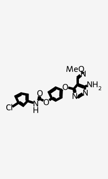 CON=Cc1c(N)ncnc1Oc1ccc(OC(=O)Nc2cccc(Cl)c2)cc1